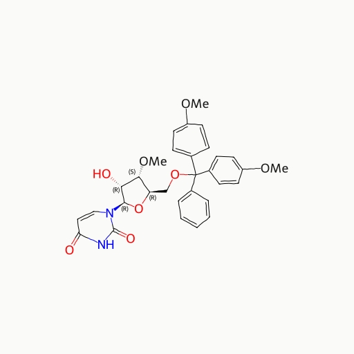 COc1ccc(C(OC[C@H]2O[C@@H](n3ccc(=O)[nH]c3=O)[C@H](O)[C@@H]2OC)(c2ccccc2)c2ccc(OC)cc2)cc1